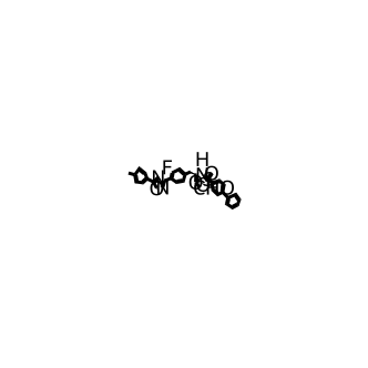 Cc1ccc(-c2nc(-c3ccc(C[C@@H](NS(=O)(=O)c4ccc(-c5ccccc5)cc4)OC=O)cc3F)no2)cc1